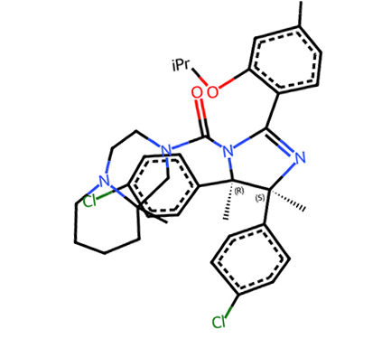 CC(C)Oc1cc(C(C)(C)C)ccc1C1=N[C@@](C)(c2ccc(Cl)cc2)[C@@](C)(c2ccc(Cl)cc2)N1C(=O)N1CCN2CCCCC2(C)C1